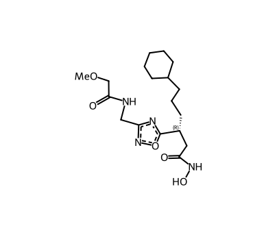 COCC(=O)NCc1noc([C@H](CCCC2CCCCC2)CC(=O)NO)n1